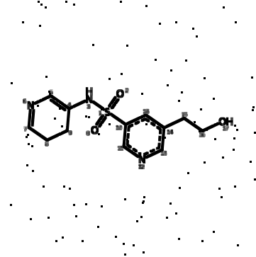 O=S(=O)(NC1=CN=CCC1)c1cncc(CCO)c1